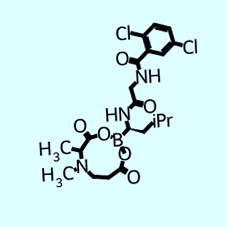 CC(C)C[C@H](NC(=O)CNC(=O)c1cc(Cl)ccc1Cl)B1OC(=O)CCN(C)C(C)C(=O)O1